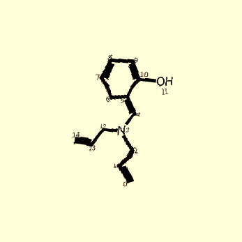 C=CCN(C=C1CC=CC=C1O)CC=C